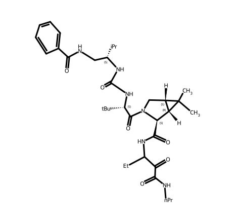 CCCNC(=O)C(=O)C(CC)NC(=O)[C@@H]1[C@@H]2[C@H](CN1C(=O)[C@@H](NC(=O)N[C@H](CNC(=O)c1ccccc1)C(C)C)C(C)(C)C)C2(C)C